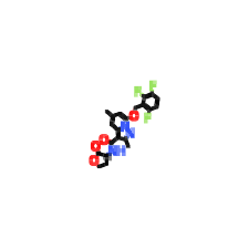 Cc1cc(OCc2c(F)ccc(F)c2F)n2nc(C)c(C(=O)N[C@H]3CCOC3=O)c2c1